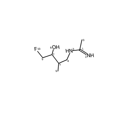 CC(=N)NCC(C)C(O)CF